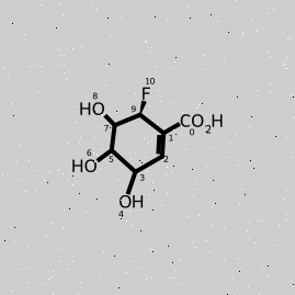 O=C(O)C1=CC(O)C(O)C(O)[C@H]1F